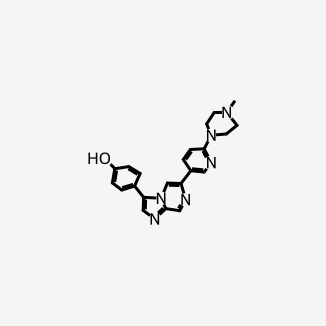 CN1CCN(c2ccc(-c3cn4c(-c5ccc(O)cc5)cnc4cn3)cn2)CC1